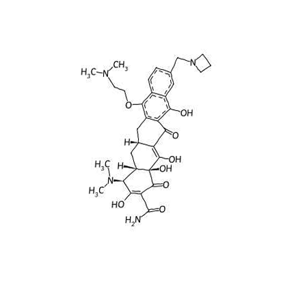 CN(C)CCOc1c2c(c(O)c3cc(CN4CCC4)ccc13)C(=O)C1=C(O)[C@]3(O)C(=O)C(C(N)=O)=C(O)[C@@H](N(C)C)[C@@H]3C[C@@H]1C2